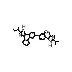 CCC(C)c1nc2c3ccccc3c3cc(-c4ccc5c(c4)OCc4nc(C(C)C)[nH]c4-5)ccc3c2[nH]1